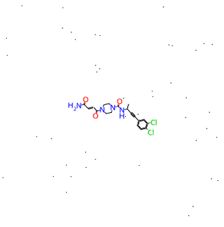 CC(C#Cc1ccc(Cl)c(Cl)c1)NC(=O)N1CCN(C(=O)/C=C/C(N)=O)CC1